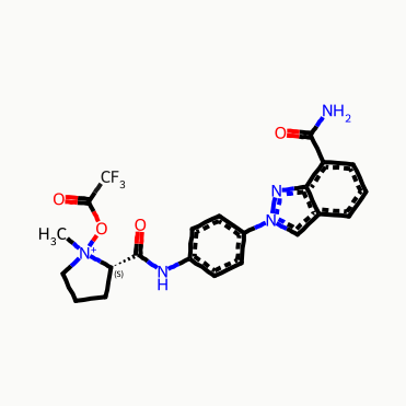 C[N+]1(OC(=O)C(F)(F)F)CCC[C@H]1C(=O)Nc1ccc(-n2cc3cccc(C(N)=O)c3n2)cc1